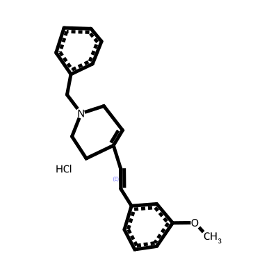 COc1cccc(/C=C/C2=CCN(Cc3ccccc3)CC2)c1.Cl